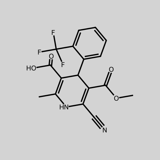 COC(=O)C1=C(C#N)NC(C)=C(C(=O)O)C1c1ccccc1C(F)(F)F